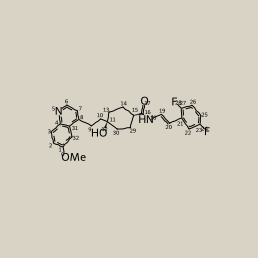 COc1ccc2nccc(CC[C@]3(O)CC[C@@H](C(=O)NC=Cc4cc(F)ccc4F)CC3)c2c1